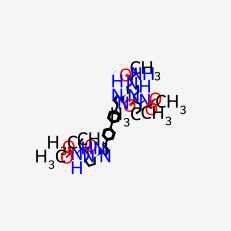 CNC(=O)N1CCN(C(=O)[C@@H](NC(=O)OC)C(C)C)[C@H](c2nc(-c3ccc(-c4ccc(-c5cnc([C@@H]6CCCN6C(=O)[C@@H](NC(=O)OC)C(C)C)[nH]5)cc4)cc3)c[nH]2)C1